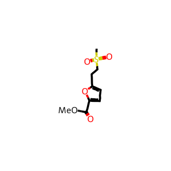 COC(=O)c1ccc(CCS(C)(=O)=O)o1